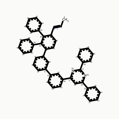 C/C=C/c1ccc(-c2cccc(-c3cccc(-c4cc(-c5ccccc5)nc(-c5ccccc5)n4)c3)c2)c(-c2ccccc2)c1-c1ccccc1